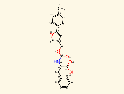 Cc1ccc(-c2cc(COC(=O)NC(Cc3ccccc3)C(=O)O)co2)cc1